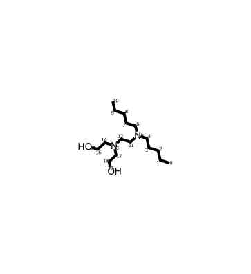 CCCCCN(CCCCC)CCN(CCO)CCO